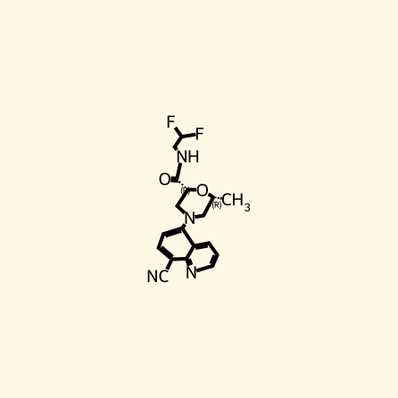 C[C@@H]1CN(c2ccc(C#N)c3ncccc23)C[C@H](C(=O)NCC(F)F)O1